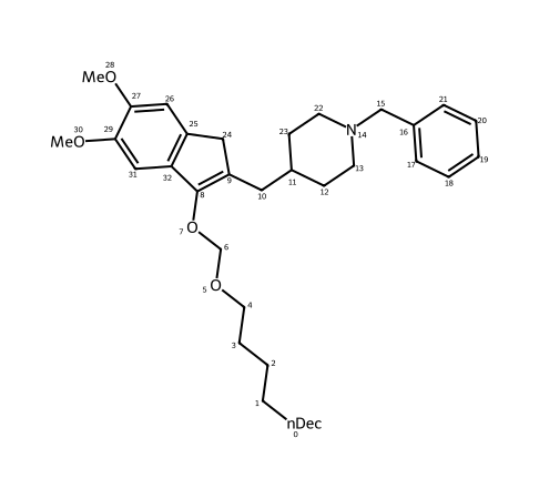 CCCCCCCCCCCCCCOCOC1=C(CC2CCN(Cc3ccccc3)CC2)Cc2cc(OC)c(OC)cc21